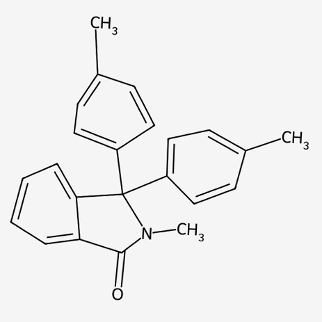 Cc1ccc(C2(c3ccc(C)cc3)c3ccccc3C(=O)N2C)cc1